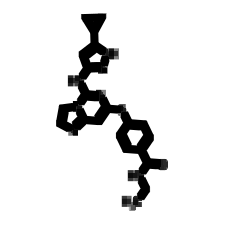 CCNC(=O)c1ccc(Sc2cc3nccn3c(Nc3cc(C4CC4)[nH]n3)n2)cc1